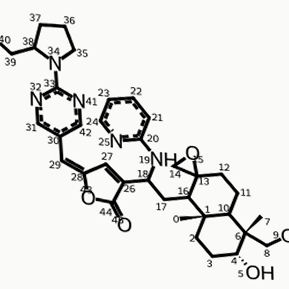 C[C@]12CC[C@@H](O)[C@@](C)(CO)C1CCC1(CO1)C2CC(Nc1ccccn1)C1=C/C(=C\c2cnc(N3CCCC3CO)nc2)OC1=O